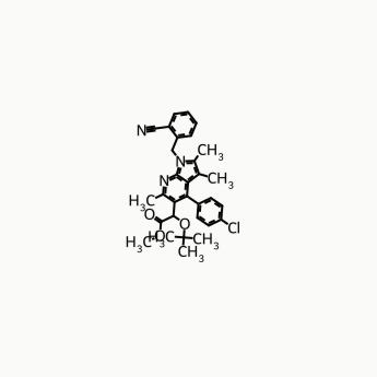 COC(=O)C(OC(C)(C)C)c1c(C)nc2c(c(C)c(C)n2Cc2ccccc2C#N)c1-c1ccc(Cl)cc1